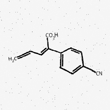 C=CC=C(C(=O)O)c1ccc(C#N)cc1